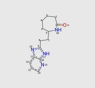 O=C1CCCCC(CCc2nc3cccnc3[nH]2)N1